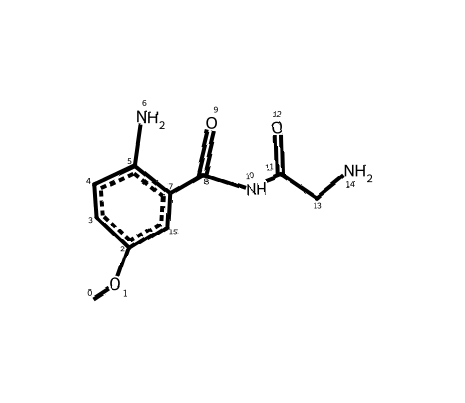 COc1ccc(N)c(C(=O)NC(=O)CN)c1